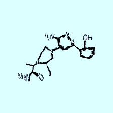 CNC(=O)C(C)N1CCN(c2cc(-c3ccccc3O)nnc2N)C[C@H]1C